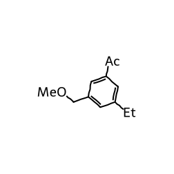 CCc1cc(COC)cc(C(C)=O)c1